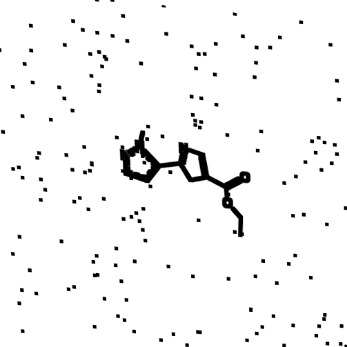 CCOC(=O)C1=CN=C(c2ccnn2C)C1